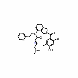 Cc1cc(C(=O)N2Cc3cccc(N(CCc4ccccn4)C(=O)/C=C/CN(C)C)c3C2)c(O)cc1O